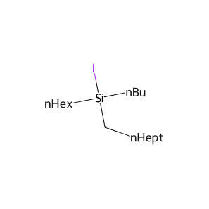 CCCCCCCC[Si](I)(CCCC)CCCCCC